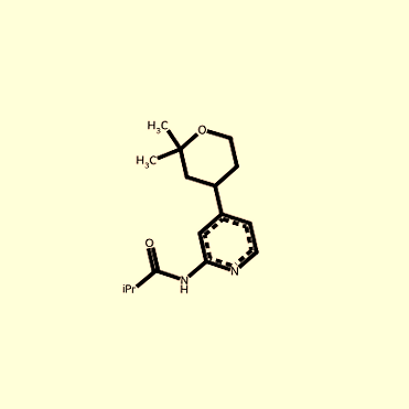 CC(C)C(=O)Nc1cc(C2CCOC(C)(C)C2)ccn1